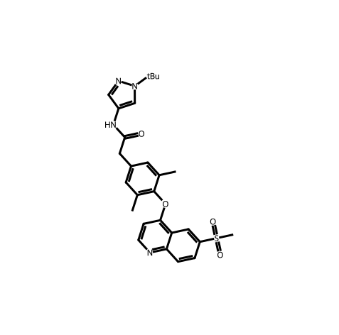 Cc1cc(CC(=O)Nc2cnn(C(C)(C)C)c2)cc(C)c1Oc1ccnc2ccc(S(C)(=O)=O)cc12